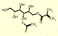 C=C(C)C(=O)OC[C@H](O)[C@@H](O)[C@H](O)[C@H](O)CO.C=C(F)F